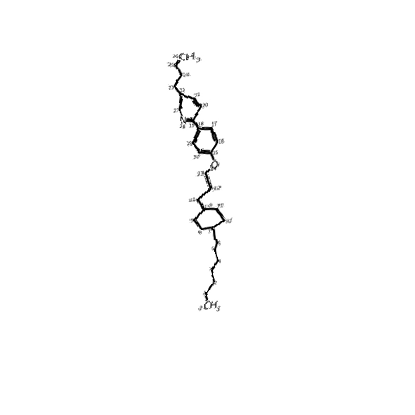 CCCCCCCC1CCC(CCCOc2ccc(-c3ccc(CCCC)cn3)cc2)CC1